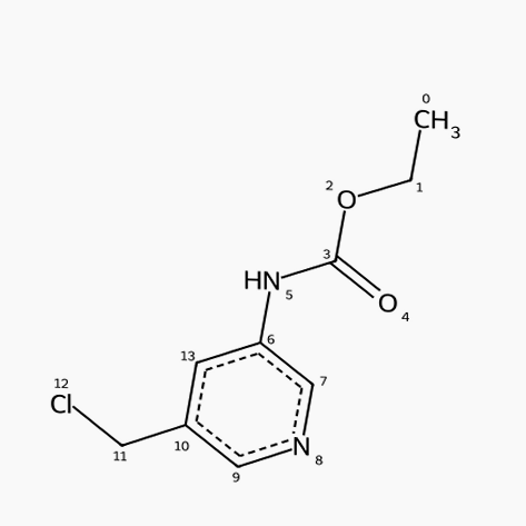 CCOC(=O)Nc1cncc(CCl)c1